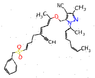 C#C/C(=C\C=C(/C)OCc1c(C#N)c(C)nn1C(C)/C=C\C/C=C\C)CC/C=C/S(=O)(=O)Cc1ccccc1